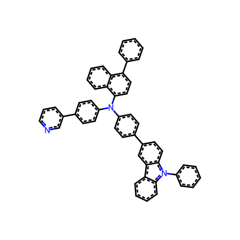 c1ccc(-c2ccc(N(c3ccc(-c4cccnc4)cc3)c3ccc(-c4ccc5c(c4)c4ccccc4n5-c4ccccc4)cc3)c3ccccc23)cc1